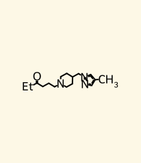 CCC(=O)CCCN1CCC(Cn2cc(C)cn2)CC1